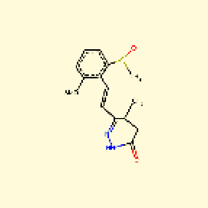 COc1cccc([S+](C)[O-])c1C=CC1=NNC(=O)CC1C